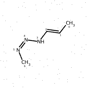 C/C=C/N/N=N\C